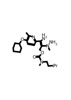 Cc1nc(/C(N)=C(\COC(=O)N(C)CCC(C)C)N(C)N)ccc1OC1CCCCC1